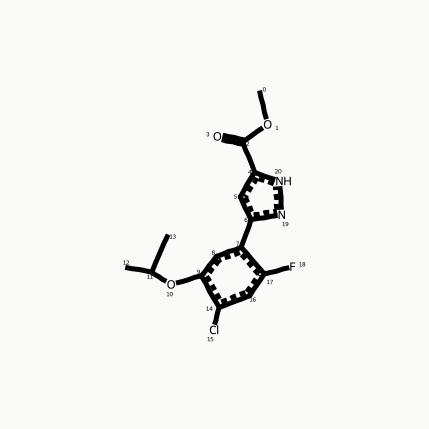 COC(=O)c1cc(-c2cc(OC(C)C)c(Cl)cc2F)n[nH]1